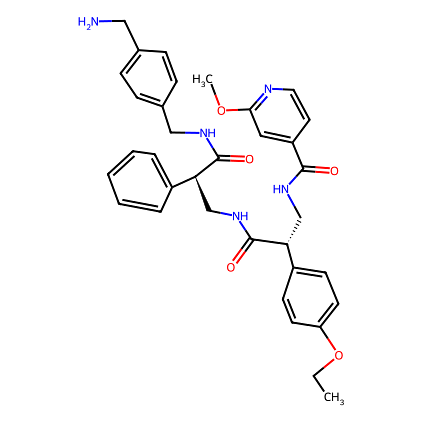 CCOc1ccc([C@@H](CNC(=O)c2ccnc(OC)c2)C(=O)NC[C@H](C(=O)NCc2ccc(CN)cc2)c2ccccc2)cc1